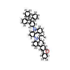 C=Cc1c(/C=C\C)n(-c2cccc3c2c2ccccc2n3-c2ccc([Si](c3ccccc3)(c3ccccc3)c3ccccc3)cc2)c2cccc(-c3ccc4oc5ccccc5c4c3)c12